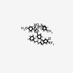 Cc1ccc(S(=O)(=O)N(CCc2ccc(-n3c(CCCc4ccccn4)nc4cc(C(F)(F)F)c(Cl)cc43)cc2)C(=O)O)cc1.Cc1ccc(S(=O)(=O)O)cc1